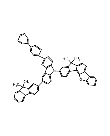 CC1(C)c2ccccc2-c2ccc(-c3ccc4c(c3)c3cc(-c5ccc(-c6ccccc6)cc5)ccc3n4-c3ccc4c(c3)C(C)(C)c3ccc5c(oc6ccccc65)c3-4)cc21